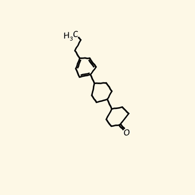 CCCc1ccc(C2CCC(C3CCC(=O)CC3)CC2)cc1